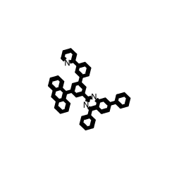 c1ccc(-c2ccc3c(-c4ccccc4)nc(-c4cc(-c5cccc(-c6ccccn6)c5)cc(-c5c6ccccc6cc6ccccc56)c4)nc3c2)cc1